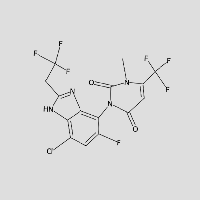 Cn1c(C(F)(F)F)cc(=O)n(-c2c(F)cc(Cl)c3[nH]c(CC(F)(F)F)nc23)c1=O